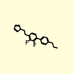 CCCc1ccc(-c2ccc(CCC3C=CC=C3)c(F)c2F)cc1